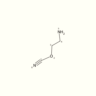 N#COCCN